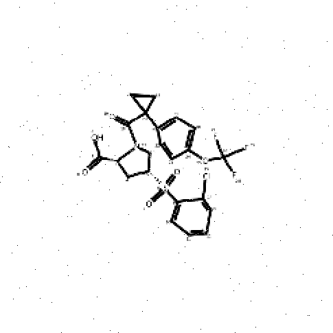 O=C(O)[C@@H]1C[C@@H](S(=O)(=O)c2ccccc2Cl)CN1C(=O)C1(c2ccc(OC(F)(F)F)cc2)CC1